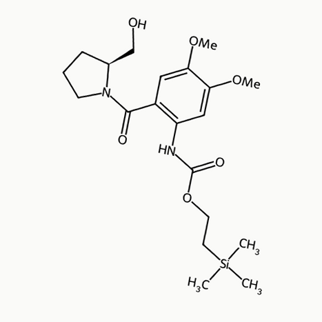 COc1cc(NC(=O)OCC[Si](C)(C)C)c(C(=O)N2CCC[C@H]2CO)cc1OC